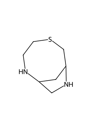 C1CSCC2CC(CN2)N1